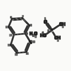 O.O=P(O)(O)O.c1ccc2ncccc2c1